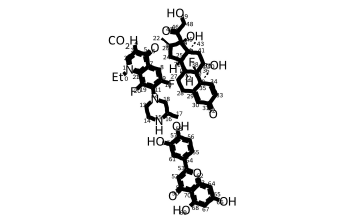 CCn1cc(C(=O)O)c(=O)c2cc(F)c(N3CCNC(C)C3)c(F)c21.C[C@@H]1C[C@H]2[C@@H]3CCC4=CC(=O)C=C[C@]4(C)[C@@]3(F)[C@@H](O)C[C@]2(C)[C@@]1(O)C(=O)CO.O=c1cc(-c2ccc(O)c(O)c2)oc2cc(O)cc(O)c12